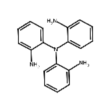 Nc1ccccc1N(c1ccccc1N)c1ccccc1N